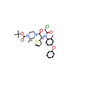 Cc1cc(Oc2ccccc2)ccc1N(C(=O)CCl)[C@H](C(=O)N1CCN(C(=O)OC(C)(C)C)[C@H](C)C1)C1CC=CS1